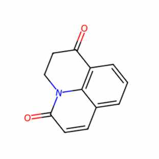 O=C1CCn2c(=O)ccc3cccc1c32